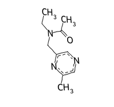 CCN(Cc1cncc(C)n1)C(C)=O